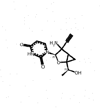 C#CC1(N)C2CC2([C@H](C)O)O[C@H]1n1ccc(=O)[nH]c1=O